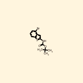 CC(C)(C)OC(=O)Nc1cc2c(Br)cccc2s1